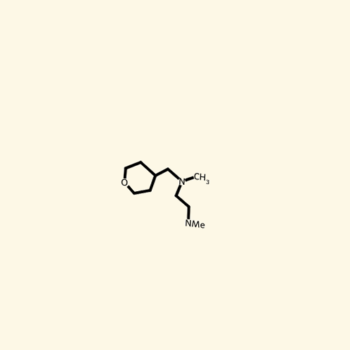 CNCCN(C)CC1CCOCC1